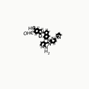 Nc1ncccc1-c1nc2ccc(-n3cccn3)nc2n1-c1ccc2c(c1)CC[C@@H]2N1Cc2cc(O)c(C=O)cc2C1=O